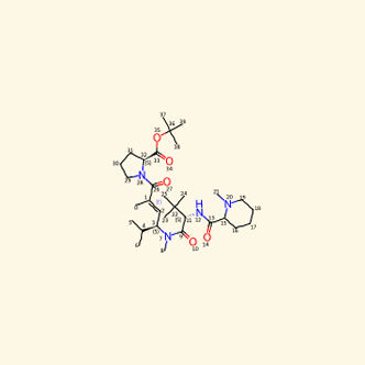 C/C(=C\[C@H](C(C)C)N(C)C(=O)[C@@H](NC(=O)C1CCCCN1C)C(C)(C)C)C(=O)N1CCC[C@H]1C(=O)OC(C)(C)C